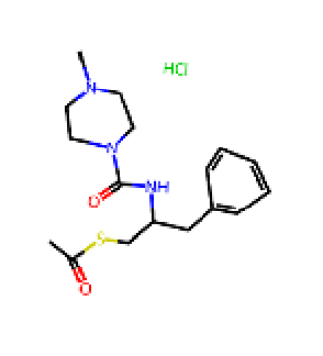 CC(=O)SCC(Cc1ccccc1)NC(=O)N1CCN(C)CC1.Cl